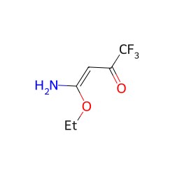 CCO/C(N)=C\C(=O)C(F)(F)F